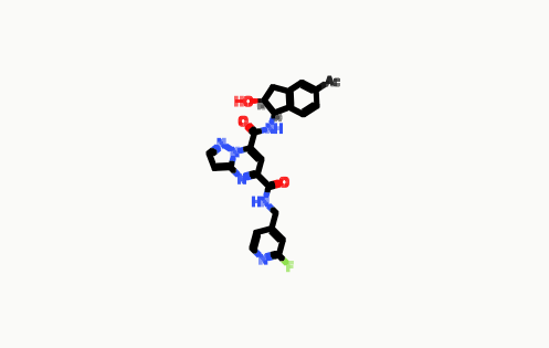 CC(=O)c1ccc2c(c1)C[C@H](O)[C@@H]2NC(=O)c1cc(C(=O)NCc2ccnc(F)c2)nc2ccnn12